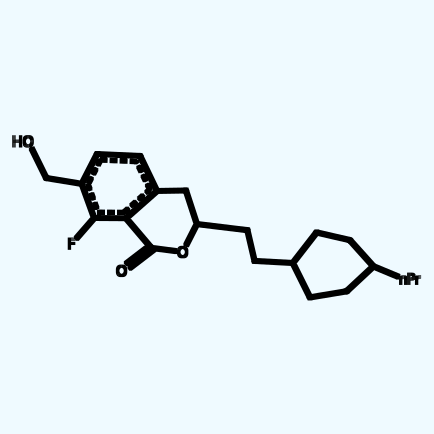 CCCC1CCC(CCC2Cc3ccc(CO)c(F)c3C(=O)O2)CC1